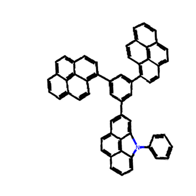 c1ccc(-n2c3cccc4ccc5cc(-c6cc(-c7ccc8ccc9cccc%10ccc7c8c9%10)cc(-c7ccc8ccc9cccc%10ccc7c8c9%10)c6)cc2c5c43)cc1